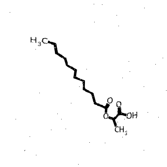 CCCCCCCCCCCC(=O)OC(C)C(=O)O